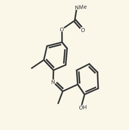 CNC(=O)Oc1ccc(N=C(C)c2ccccc2O)c(C)c1